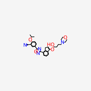 CC(C)Oc1ccc(-c2nc(-c3cccc4c3CC=C4OC(O)CCCN3CCOCC3)no2)cc1C#N